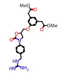 COC(=O)Cc1cc(CC(=O)OC)cc(OCC2CN(c3ccc(CNC(=N)N)cc3)C(=O)O2)c1